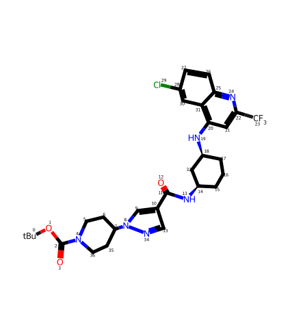 CC(C)(C)OC(=O)N1CCC(n2cc(C(=O)N[C@@H]3CCC[C@H](Nc4cc(C(F)(F)F)nc5ccc(Cl)cc45)C3)cn2)CC1